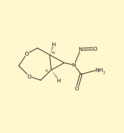 NC(=O)N(N=O)C1[C@H]2COCOC[C@@H]12